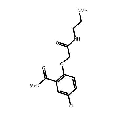 CNCCNC(=O)COc1ccc(Cl)cc1C(=O)OC